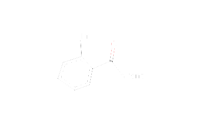 CCCCCC(=O)c1ccccc1C(C)C